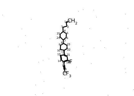 C=CCCC1CCC(C2CCC(c3ccc(C#CC(F)(F)F)c(F)c3)CC2)CC1